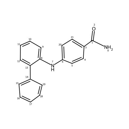 NC(=O)c1ccc(Nc2ccccc2-c2ccccc2)cc1